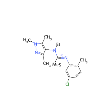 CCN(/C(=N/c1cc(Cl)ccc1C)SC)c1c(C)nn(C)c1C